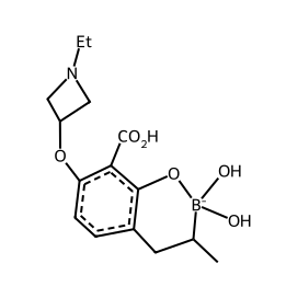 CCN1CC(Oc2ccc3c(c2C(=O)O)O[B-](O)(O)C(C)C3)C1